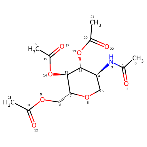 CC(=O)N[C@H]1[CH]O[C@H](COC(C)=O)[C@@H](OC(C)=O)[C@@H]1OC(C)=O